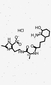 Cc1nc(CCNC(=O)[C@H](C)NC(=O)CCCC2CCCC(O)[C@@H]2N)c([N+](=O)[O-])[nH]1.Cl